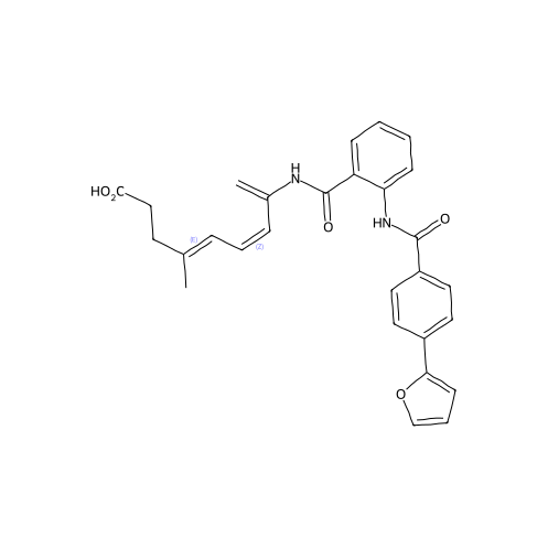 C=C(/C=C\C=C(/C)CCC(=O)O)NC(=O)c1ccccc1NC(=O)c1ccc(-c2ccco2)cc1